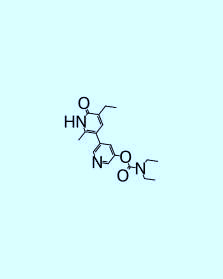 CCc1cc(-c2cncc(OC(=O)N(CC)CC)c2)c(C)[nH]c1=O